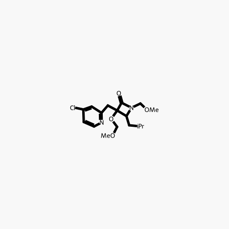 COCOC1(Cc2cc(Cl)ccn2)C(=O)N(COC)C1CC(C)C